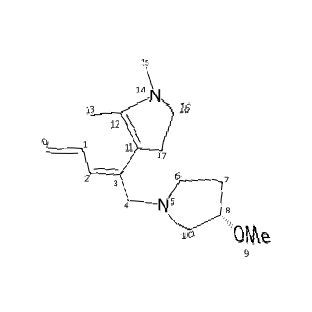 C=C/C=C(/CN1CC[C@H](OC)C1)C1=C(C)N(C)CC1